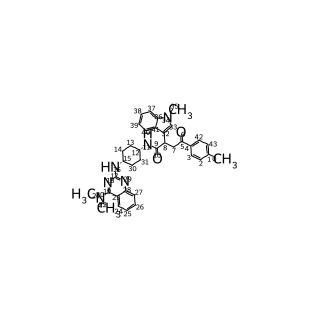 Cc1ccc(C(=O)CC(C(=O)N[C@H]2CC[C@@H](Nc3nc(N(C)C)c4ccccc4n3)CC2)c2cn(C)c3ccccc23)cc1